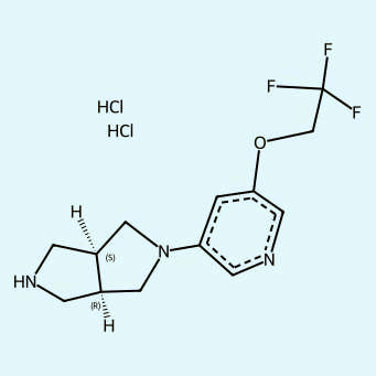 Cl.Cl.FC(F)(F)COc1cncc(N2C[C@H]3CNC[C@H]3C2)c1